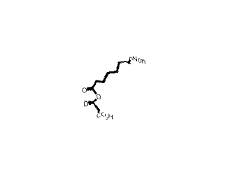 CCCCCCCCCCCCCCCC(=O)OC(=O)CC(=O)O